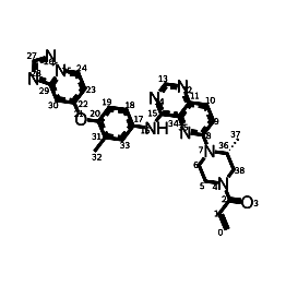 C=CC(=O)N1CCN(c2ccc3ncnc(Nc4ccc(Oc5ccn6ncnc6c5)c(C)c4)c3n2)[C@H](C)C1